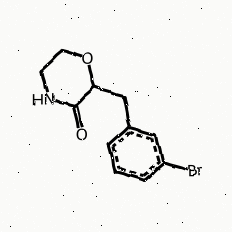 O=C1NCCOC1Cc1cccc(Br)c1